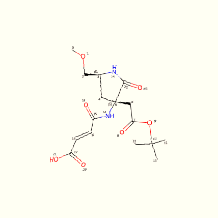 COC[C@@H]1C[C@@](CC(=O)OC(C)(C)C)(NC(=O)C=CC(=O)O)C(=O)N1